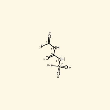 O=C(F)NC(=O)NS(=O)(=O)F